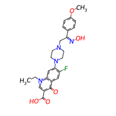 CCn1cc(C(=O)O)c(=O)c2cc(F)c(N3CCN(CC(=NO)c4ccc(OC)cc4)CC3)cc21